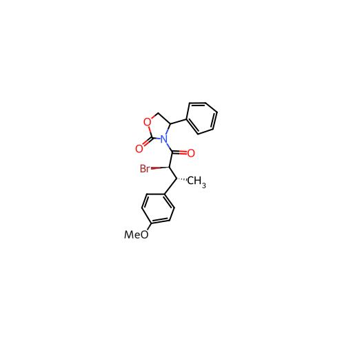 COc1ccc([C@@H](C)[C@@H](Br)C(=O)N2C(=O)OCC2c2ccccc2)cc1